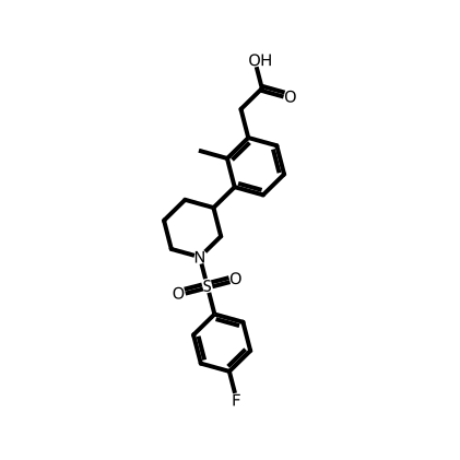 Cc1c(CC(=O)O)cccc1C1CCCN(S(=O)(=O)c2ccc(F)cc2)C1